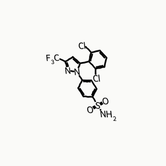 NS(=O)(=O)c1ccc(-n2nc(C(F)(F)F)cc2-c2c(Cl)cccc2Cl)cc1